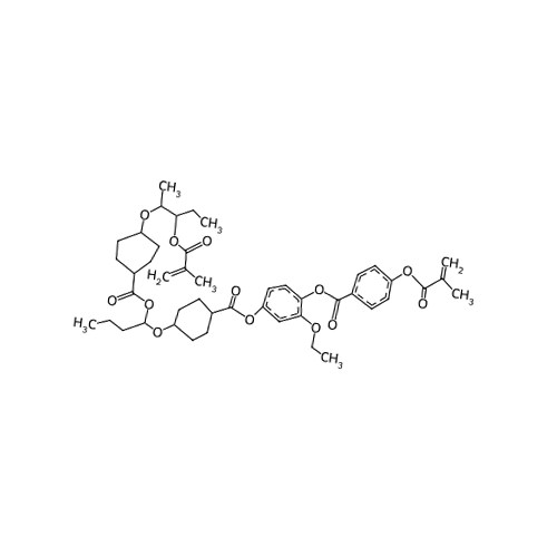 C=C(C)C(=O)Oc1ccc(C(=O)Oc2ccc(OC(=O)C3CCC(OC(CCC)OC(=O)C4CCC(OC(C)C(CC)OC(=O)C(=C)C)CC4)CC3)cc2OCC)cc1